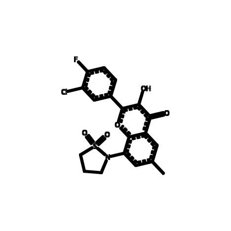 Cc1cc(N2CCCS2(=O)=O)c2oc(-c3ccc(F)c(Cl)c3)c(O)c(=O)c2c1